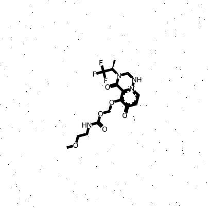 COCCNC(=O)OCOc1c2n(ccc1=O)NCN([C@H](C)C(F)(F)F)C2=O